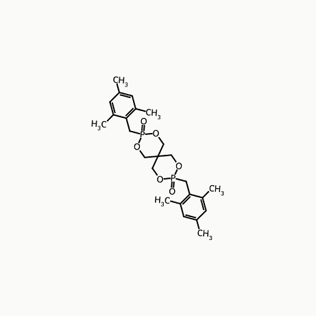 Cc1cc(C)c(CP2(=O)OCC3(CO2)COP(=O)(Cc2c(C)cc(C)cc2C)OC3)c(C)c1